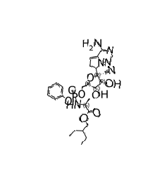 CCC(CC)COC(=O)[C@H](C)NP(=O)(OC[C@H]1O[C@@](C#N)(C2CC=C3C(N)=NC=NN32)[C@H](O)[C@@H]1O)Oc1ccccc1